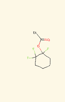 CCC(=O)OC1(F)CCCCC1(F)F